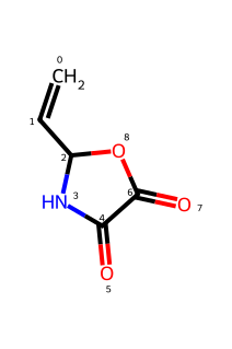 C=CC1NC(=O)C(=O)O1